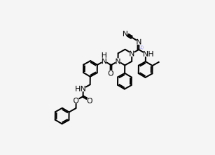 Cc1ccccc1N/C(=N/C#N)N1CCN(C(=O)Nc2cccc(CNC(=O)OCc3ccccc3)c2)C(c2ccccc2)C1